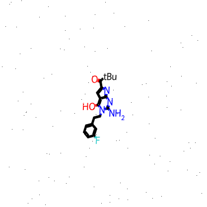 CC(C)(C)C(=O)c1cc2c(O)n(CCc3cccc(F)c3)c(N)nc-2n1